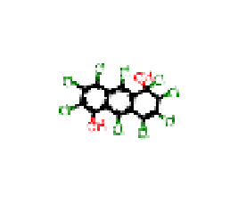 Oc1c(Cl)c(Cl)c(Cl)c2c(Cl)c3c(c(Cl)c12)C(Cl)=C(Cl)C(Cl)C3(O)Cl